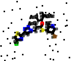 CC(=O)OCC(OC(Sc1cc(Br)cnc1C#N)[C@H](Cn1cc(-c2nc(Cl)cs2)nn1)OC(C)=O)[C@@H](C)OC(C)=O